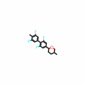 Cc1c(F)cc(-c2c(F)cc(C3CCC(C)CO3)cc2F)cc1F